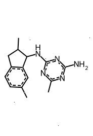 Cc1ccc2c(c1)C(Nc1nc(C)nc(N)n1)C(C)C2